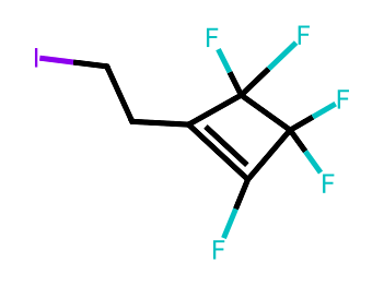 FC1=C(CCI)C(F)(F)C1(F)F